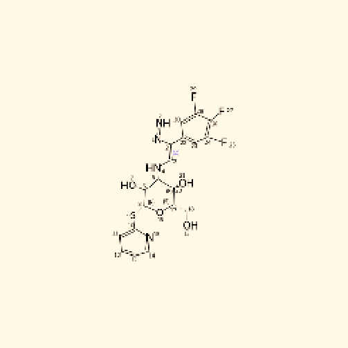 N=N/C(=C\NC1C(O)[C@@H](Sc2ccccn2)O[C@@H](CO)[C@@H]1O)c1cc(F)c(F)c(F)c1